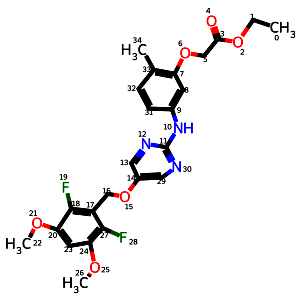 CCOC(=O)COc1cc(Nc2ncc(OCc3c(F)c(OC)cc(OC)c3F)cn2)ccc1C